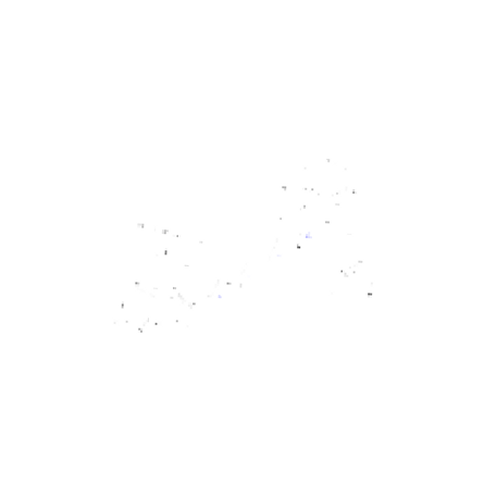 CC1(C)C(/C=C/C=C/C=C/C=C2/N(CCS(=O)(=O)O)c3ccccc3C2(C)C)=[N+](CCS(=O)(=O)O)c2ccccc21